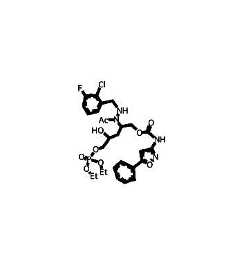 CCOP(=O)(OCC)OCC(O)CC(COC(=O)Nc1cc(-c2ccccc2)on1)N(NCc1cccc(F)c1Cl)C(C)=O